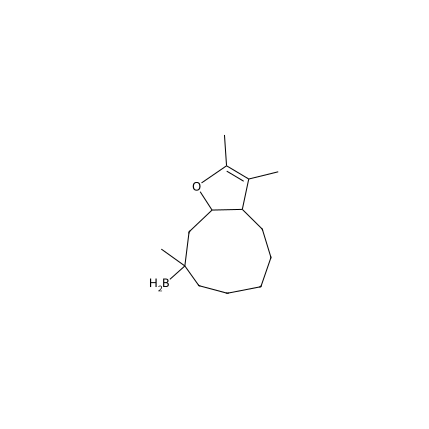 BC1(C)CCCCCC2C(C)=C(C)OC2C1